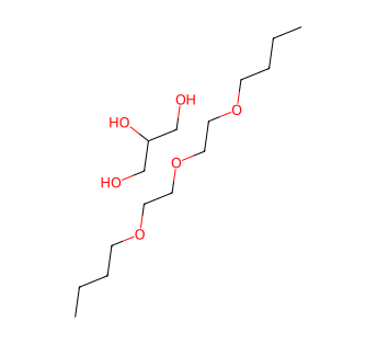 CCCCOCCOCCOCCCC.OCC(O)CO